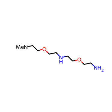 CNCCOCCNCCOCCN